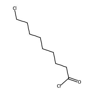 O=C(Cl)CCCCCCCCCl